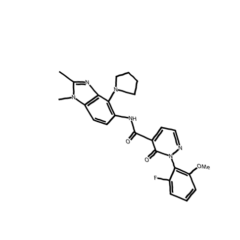 COc1cccc(F)c1-n1nccc(C(=O)Nc2ccc3c(nc(C)n3C)c2N2CCCC2)c1=O